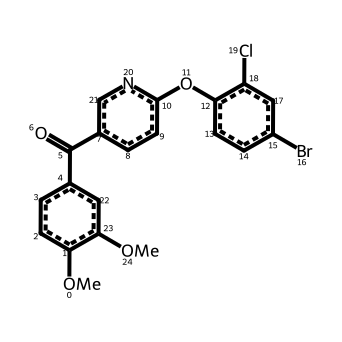 COc1ccc(C(=O)c2ccc(Oc3ccc(Br)cc3Cl)nc2)cc1OC